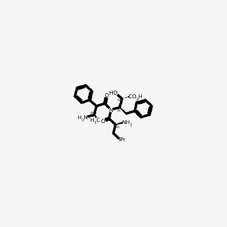 CC(C)C[C@H](N)C(=O)N(C(=O)C(c1ccccc1)[C@@H](C)N)[C@H](Cc1ccccc1)[C@H](O)C(=O)O